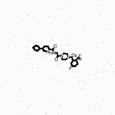 O=C(NCC(=O)N1CCN(C(=O)c2cc(F)ccc2C(F)(F)F)CC1)c1ccc(-c2ccccc2)cn1